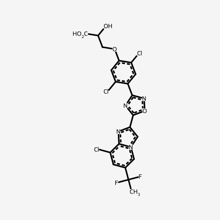 CC(F)(F)c1cc(Cl)c2nc(-c3nc(-c4cc(Cl)c(OCC(O)C(=O)O)cc4Cl)no3)cn2c1